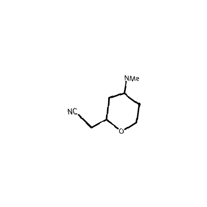 CNC1CCOC(CC#N)C1